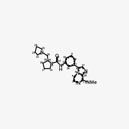 CNc1nccn2c(-c3cccc(NC(=O)N4CCC[C@H]4CN4CCCC4)c3)cnc12